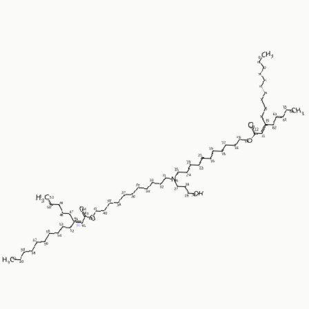 CCCCCCCCCCC(=CC(=O)OCCCCCCCCCCCN(CCCO)CCCCCCCCCCCOC(=O)/C=C(\CCCCC)CCCCCCCCCC)CCCCC